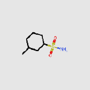 CC1CCCC(S(N)(=O)=O)C1